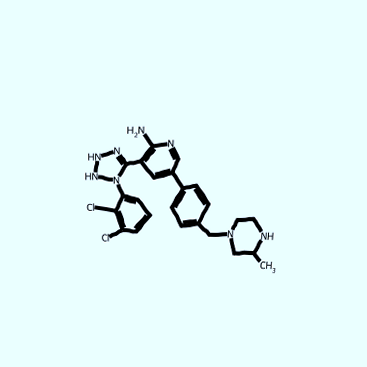 CC1CN(Cc2ccc(-c3cnc(N)c(C4=NNNN4c4cccc(Cl)c4Cl)c3)cc2)CCN1